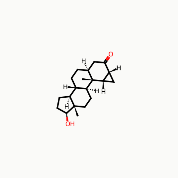 C[C@]12CC[C@H]3[C@@H](CC[C@H]4CC(=O)[C@@H]5C[C@@H]5[C@@]43C)[C@@H]1CC[C@@H]2O